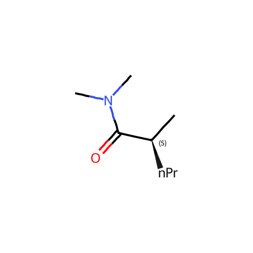 CCC[C@H](C)C(=O)N(C)C